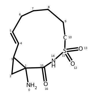 NC12CC1/C=C/CCCCCS(=O)(=O)NC2=O